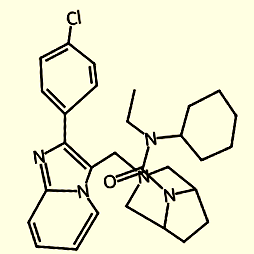 CCN(C(=O)N1C2CCC1CN(Cc1c(-c3ccc(Cl)cc3)nc3ccccn13)C2)C1CCCCC1